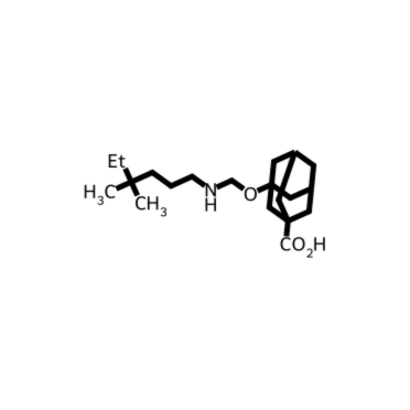 CCC(C)(C)CCCNCOC12CC3CC(C1)CC(C(=O)O)(C3)C2